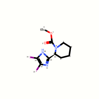 CC(C)(C)OC(=O)N1CCCC[C@H]1c1nc(I)c(I)[nH]1